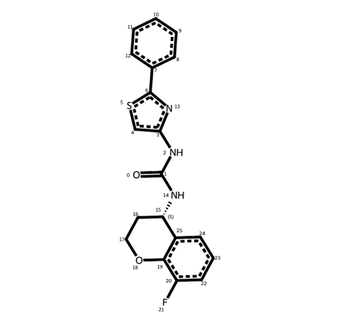 O=C(Nc1csc(-c2ccccc2)n1)N[C@H]1CCOc2c(F)cccc21